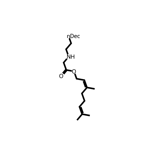 CCCCCCCCCCCCNCC(=O)OCC=C(C)CCC=C(C)C